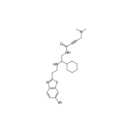 CC(C)c1ccc2nc(CCNC(CNC(=O)C#CCN(C)C)C3CCCCC3)sc2c1